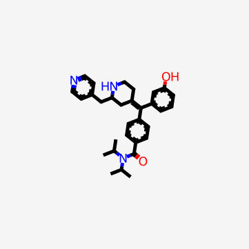 CC(C)N(C(=O)c1ccc(C(=C2CCNC(Cc3ccncc3)C2)c2cccc(O)c2)cc1)C(C)C